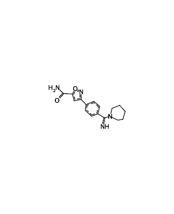 N=C(c1ccc(-c2cc(C(N)=O)on2)cc1)N1CCCCC1